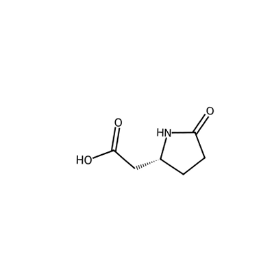 O=C(O)C[C@H]1CCC(=O)N1